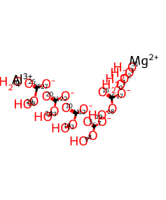 O.O.O.O.O.O=C([O-])OO.O=C([O-])OO.O=C([O-])OO.O=C([O-])OO.O=C([O-])OO.[Al+3].[Mg+2]